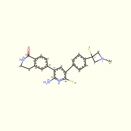 CC(=O)N1CC(F)(c2ccc(-c3cc(-c4ccc5c(c4)CCNC5=O)c(N)nc3F)cc2)C1